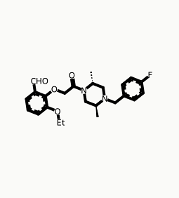 CCOc1cccc(C=O)c1OCC(=O)N1C[C@H](C)N(Cc2ccc(F)cc2)C[C@H]1C